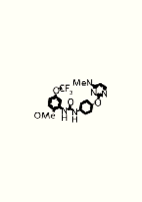 CNc1ccnc(O[C@H]2CC[C@H](NC(=O)Nc3cc(OC(F)(F)F)ccc3OC)CC2)n1